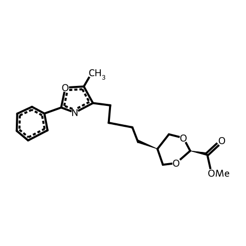 COC(=O)[C@H]1OC[C@@H](CCCCc2nc(-c3ccccc3)oc2C)CO1